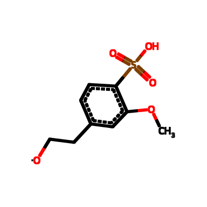 COc1cc(CC[O])ccc1S(=O)(=O)O